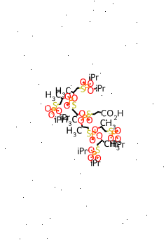 CC(C)OP(=O)(OC(C)C)SCC(C)OP(=O)(OC(C)CSP(=O)(OC(C)C)OC(C)C)SCC(C)OP(=O)(OC(C)CSP(=O)(OC(C)CSP(=O)(OC(C)C)OC(C)C)OC(C)CSP(=O)(OC(C)C)OC(C)C)SCCC(=O)O